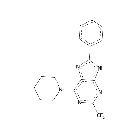 FC(F)(F)c1nc(N2CCCCC2)c2nc(-c3ccccc3)[nH]c2n1